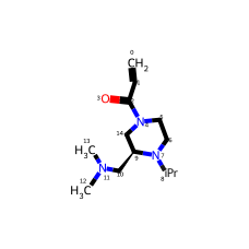 C=CC(=O)N1CCN(C(C)C)[C@@H](CN(C)C)C1